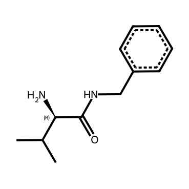 CC(C)[C@@H](N)C(=O)NCc1ccccc1